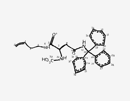 C=CCCNC(=O)C(CC(=O)NC(c1ccccc1)(c1ccccc1)c1ccccc1)NC(=O)O